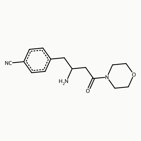 N#Cc1ccc(CC(N)CC(=O)N2CCOCC2)cc1